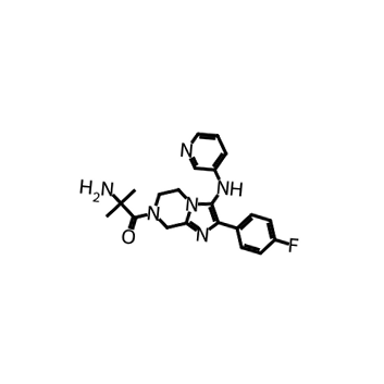 CC(C)(N)C(=O)N1CCn2c(nc(-c3ccc(F)cc3)c2Nc2cccnc2)C1